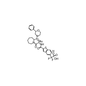 CC(C)(C)C(NC(=O)c1cc2cc(C(F)(F)P(=O)(O)O)ccc2s1)C(=O)N1CCCCCC1C(=O)N1CCOC(c2ccccc2)C1